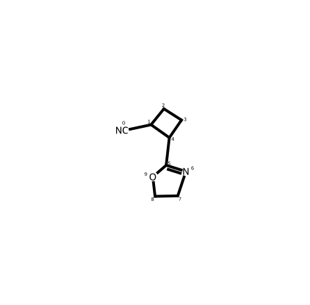 N#CC1CCC1C1=NCCO1